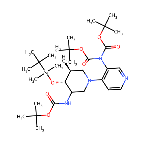 C[C@H]1CN(c2ccncc2N(C(=O)OC(C)(C)C)C(=O)OC(C)(C)C)CC(NC(=O)OC(C)(C)C)[C@@H]1O[Si](C)(C)C(C)(C)C